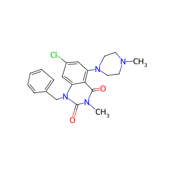 CN1CCN(c2cc(Cl)cc3c2c(=O)n(C)c(=O)n3Cc2ccccc2)CC1